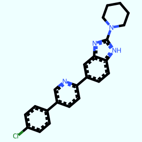 Clc1ccc(-c2ccc(-c3ccc4[nH]c(N5CCCCC5)nc4c3)nc2)cc1